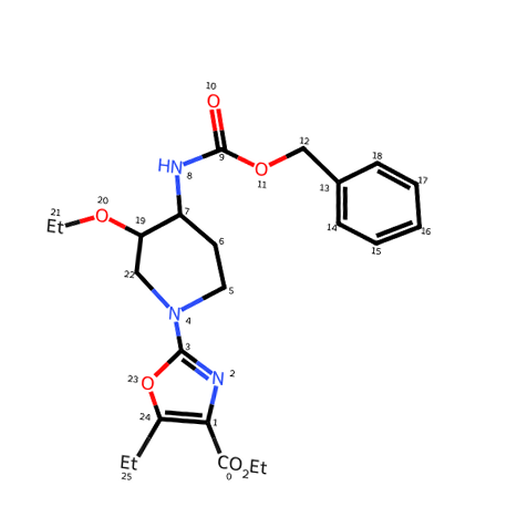 CCOC(=O)c1nc(N2CCC(NC(=O)OCc3ccccc3)C(OCC)C2)oc1CC